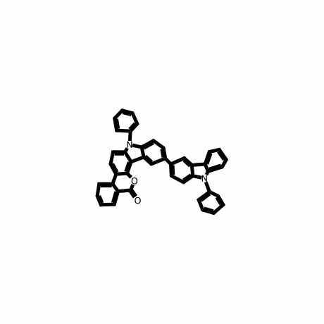 O=c1oc2c(ccc3c2c2cc(-c4ccc5c(c4)c4ccccc4n5-c4ccccc4)ccc2n3-c2ccccc2)c2ccccc12